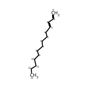 C=CC=CCCCCCCCCCC